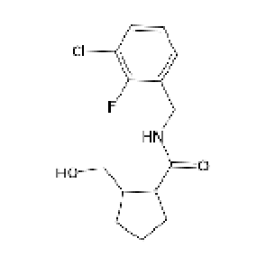 O=C(NCc1cccc(Cl)c1F)C1CCCC1CO